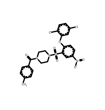 Cc1ccc(C(=O)N2CCN(S(=O)(=O)c3cc([N+](=O)[O-])ccc3Oc3cc(Cl)ccc3Cl)CC2)cc1